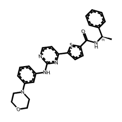 C[C@@H](NC(=O)c1ccc(-c2ccnc(Nc3cccc(N4CCOCC4)c3)n2)s1)c1ccccc1